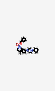 O=C(OCc1ccccc1)N1CC[C@@H]2CC1c1cc(N3CCN(C4CCCCC4)CC3)ccc12